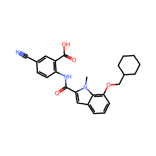 Cn1c(C(=O)Nc2ccc(C#N)cc2C(=O)O)cc2cccc(OCC3CCCCC3)c21